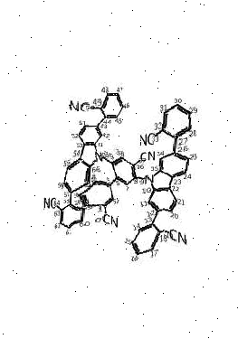 N#Cc1cccc(-c2cc(-n3c4cc(-c5ccccc5C#N)ccc4c4ccc(-c5ccccc5C#N)cc43)c(C#N)cc2-n2c3cc(-c4ccccc4C#N)ccc3c3ccc(-c4ccccc4C#N)cc32)c1